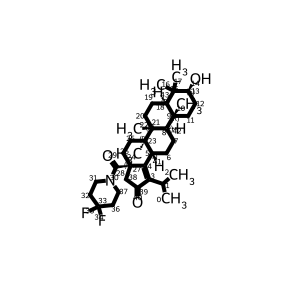 CC(C)C1=C2[C@H]3CC[C@@H]4[C@@]5(C)CC[C@H](O)C(C)(C)[C@@H]5CC[C@@]4(C)[C@]3(C)CC[C@@]2(C(=O)N2CCC(F)(F)CC2)CC1=O